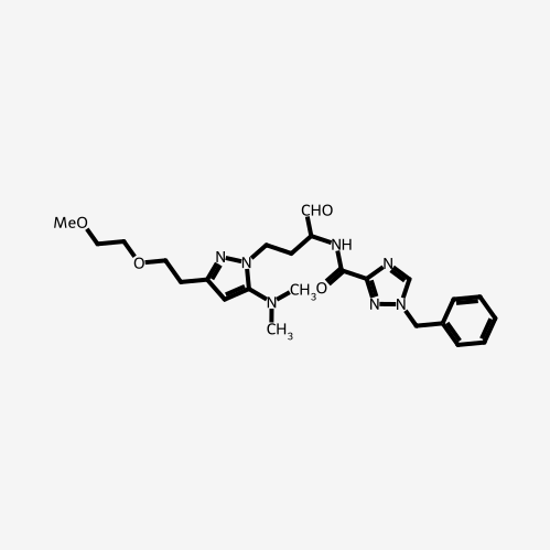 COCCOCCc1cc(N(C)C)n(CCC(C=O)NC(=O)c2ncn(Cc3ccccc3)n2)n1